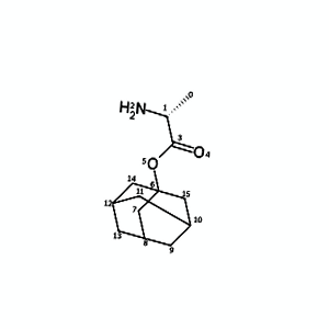 C[C@@H](N)C(=O)OC12CC3CC(CC(C3)C1)C2